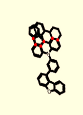 c1cc(-c2cccc3oc4ccccc4c23)cc(N(c2ccccc2-c2cccc3cccc(C4CCCCC4)c23)c2cccc3c2sc2ccccc23)c1